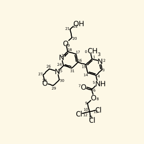 Cc1ncc(NC(=O)OCC(Cl)(Cl)Cl)cc1-c1cc(OCCO)nc(N2CCOCC2)c1